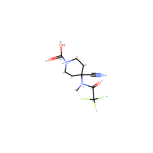 CN(C(=O)C(F)(F)F)C1(C#N)CCN(C(=O)O)CC1